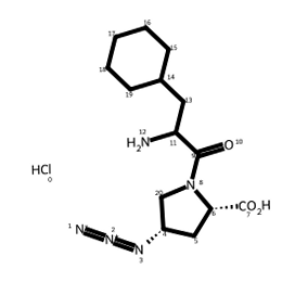 Cl.[N-]=[N+]=N[C@H]1C[C@@H](C(=O)O)N(C(=O)C(N)CC2CCCCC2)C1